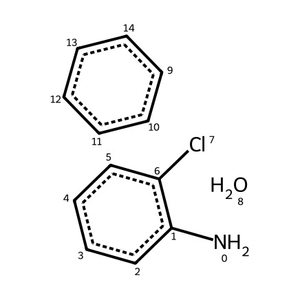 Nc1ccccc1Cl.O.c1ccccc1